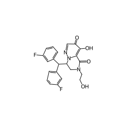 O=C1c2c(O)c(=O)cnn2C(C(c2cccc(F)c2)c2cccc(F)c2)CN1CCO